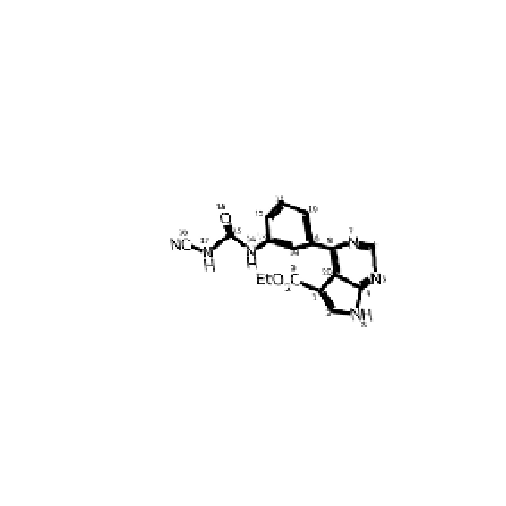 CCOC(=O)c1c[nH]c2ncnc(-c3cccc(NC(=O)NC#N)c3)c12